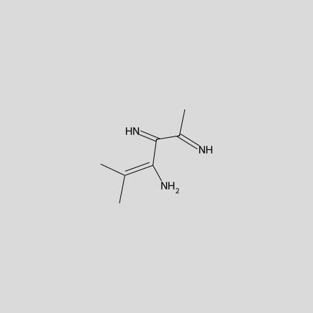 CC(=N)C(=N)C(N)=C(C)C